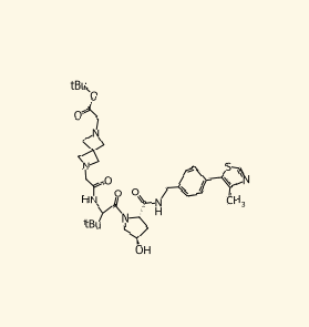 Cc1ncsc1-c1ccc(CNC(=O)[C@@H]2C[C@@H](O)CN2C(=O)C(NC(=O)CN2CC3(C2)CN(CC(=O)OC(C)(C)C)C3)C(C)(C)C)cc1